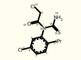 CC(C)c1ccc(Cl)cc1N(C(=O)CCl)C(N)=S